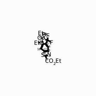 CCOC(=O)c1nc2cc(C(F)(F)P(=O)(OCC)OCC)ccc2s1